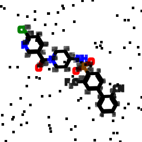 N#Cc1ccccc1-c1ccc(S(=O)(=O)NC2CCN(C(=O)c3ccc(Cl)nc3)CC2)c(C(F)(F)F)c1